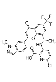 CC(Nc1ccc(Cl)nc1C(=O)O)c1cc(C(F)(F)F)cc2c(=O)cc(-c3ccc4cnn(C)c4c3)oc12